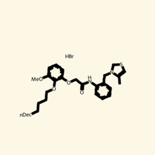 Br.CCCCCCCCCCCCCCOc1c(OC)cccc1OCC(=O)Nc1ccccc1CN1CSC=C1C